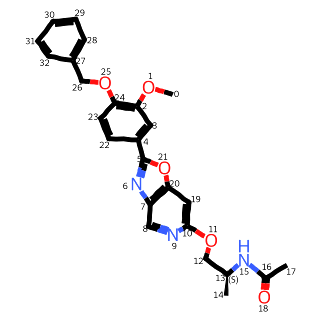 COc1cc(-c2nc3cnc(OC[C@H](C)NC(C)=O)cc3o2)ccc1OCc1ccccc1